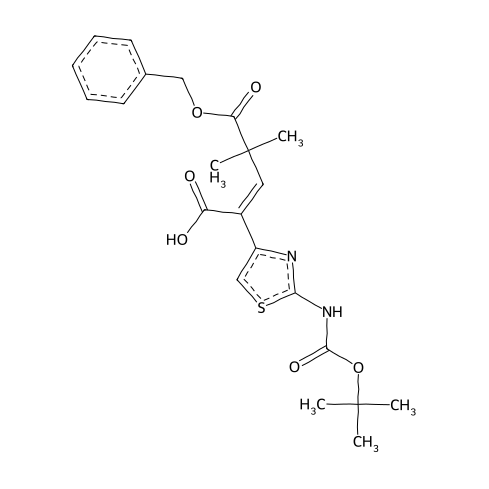 CC(C)(C)OC(=O)Nc1nc(C(=CC(C)(C)C(=O)OCc2ccccc2)C(=O)O)cs1